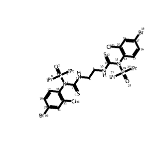 CC(C)P(=O)(C(C)C)N(C(=S)NCCNC(=S)N(c1ccc(Br)cc1Cl)P(=O)(C(C)C)C(C)C)c1ccc(Br)cc1Cl